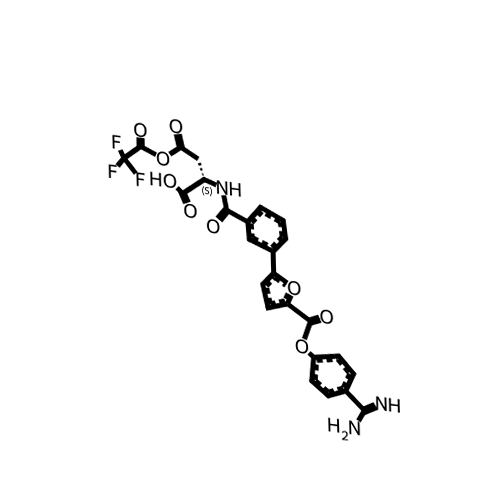 N=C(N)c1ccc(OC(=O)c2ccc(-c3cccc(C(=O)N[C@@H](CC(=O)OC(=O)C(F)(F)F)C(=O)O)c3)o2)cc1